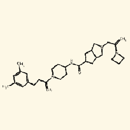 C=C(CCc1cc(C)cc(C)c1)N1CCC(NC(=O)C2CC3CN(CC(=C)N4CCC4)CC3C2)CC1